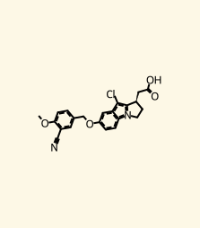 COc1ccc(COc2ccc3c(c2)c(Cl)c2n3CC[C@@H]2CC(=O)O)cc1C#N